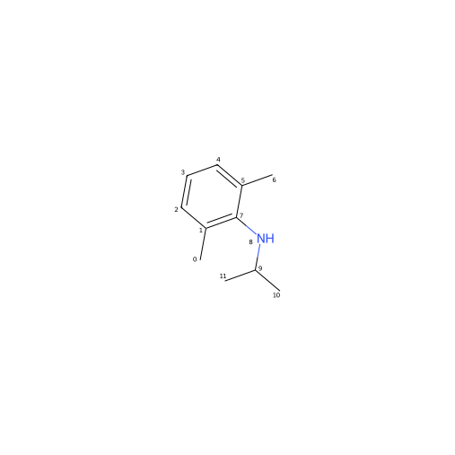 Cc1cccc(C)c1NC(C)C